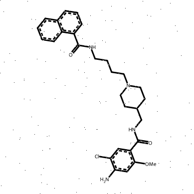 COc1cc(N)c(Cl)cc1C(=O)NCC1CCN(CCCCNC(=O)c2cccc3ccccc23)CC1